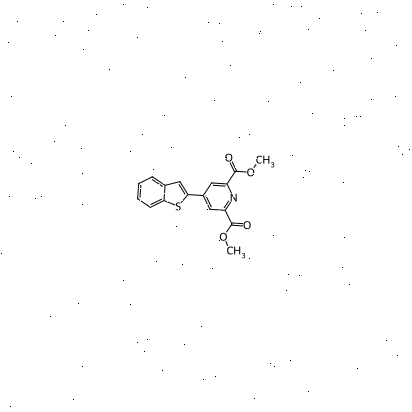 COC(=O)c1cc(-c2cc3ccccc3s2)cc(C(=O)OC)n1